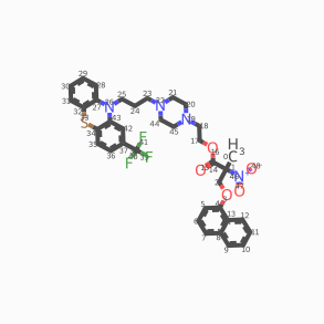 CC(COc1cccc2ccccc12)(C(=O)OCCN1CCN(CCCN2c3ccccc3Sc3ccc(C(F)(F)F)cc32)CC1)[N+](=O)[O-]